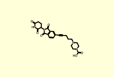 O=C1CCC(N2C(=O)c3ccc(C#CCCCN4CCN(C(=O)O)CC4)cc3C2=O)C(=O)N1